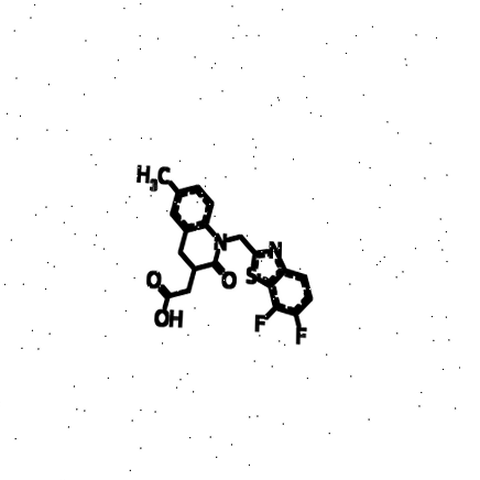 Cc1ccc2c(c1)CC(CC(=O)O)C(=O)N2Cc1nc2ccc(F)c(F)c2s1